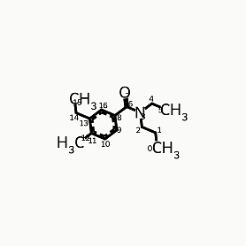 CCCN(CC)C(=O)c1ccc(C)c(CC)c1